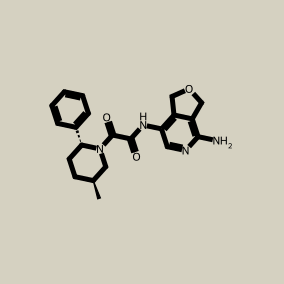 C[C@H]1CC[C@H](c2ccccc2)N(C(=O)C(=O)Nc2cnc(N)c3c2COC3)C1